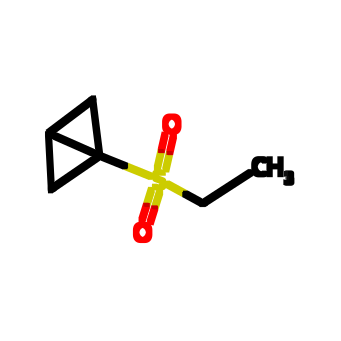 CCS(=O)(=O)C12CC1C2